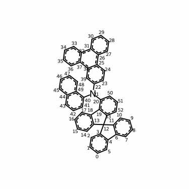 c1ccc2c(c1)-c1ccccc1C21c2ccccc2-c2c(N(c3ccc4c5ccccc5c5ccccc5c4c3)c3cccc4ccccc34)cccc21